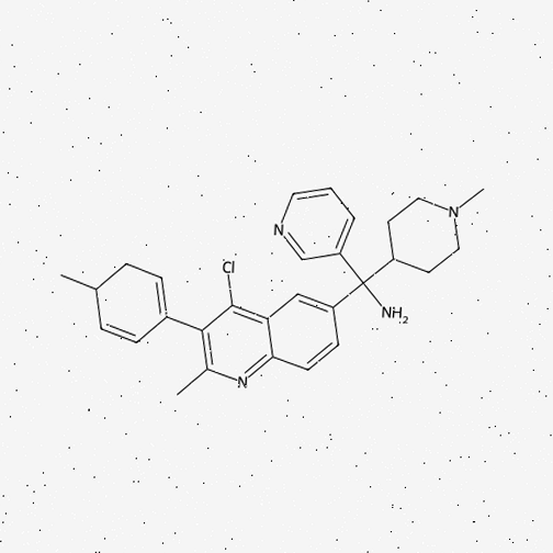 Cc1nc2ccc(C(N)(c3cccnc3)C3CCN(C)CC3)cc2c(Cl)c1C1=CCC(C)C=C1